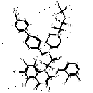 [2H]c1c(C)c([2H])c2c(=O)c([2H])c(SCc3cccc(F)c3F)n(C([2H])([2H])C(=O)N(Cc3ccc(-c4ccc(C(F)(F)F)cc4)cc3)C3CCN(C([2H])([2H])C([2H])([2H])OC([2H])([2H])[2H])CC3)c2c1[2H]